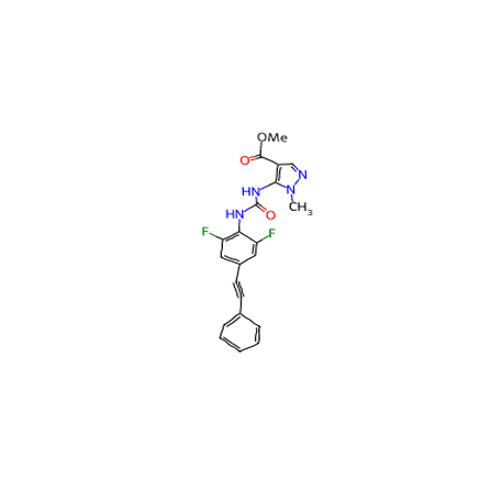 COC(=O)c1cnn(C)c1NC(=O)Nc1c(F)cc(C#Cc2ccccc2)cc1F